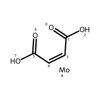 O=C(O)/C=C\C(=O)O.[Mo]